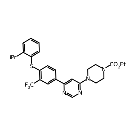 CCOC(=O)N1CCN(c2cc(-c3ccc(Sc4ccccc4C(C)C)c(C(F)(F)F)c3)ncn2)CC1